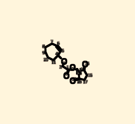 O=C(COC1C#CCCCCC1)ON1C(=O)CCC1=O